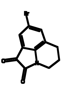 O=C1C(=O)N2CCCc3cc(Br)cc1c32